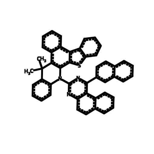 CC1(C)c2ccccc2N(c2nc(-c3ccc4ccccc4c3)c3c(ccc4ccccc43)n2)c2c1c1ccccc1c1c2sc2ccccc21